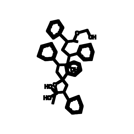 CC(O)C(CC(CC(c1ccccc1)C(O)C(CC(c1ccccc1)C(C)OCO)c1ccccc1)(OCO)c1ccccc1)c1ccccc1